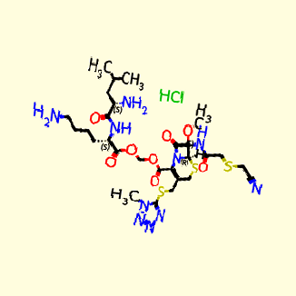 CO[C@@]1(NC(=O)CSCC#N)C(=O)N2C(C(=O)OCOC(=O)[C@H](CCCCN)NC(=O)[C@@H](N)CC(C)C)=C(CSc3nnnn3C)CS[C@@H]21.Cl